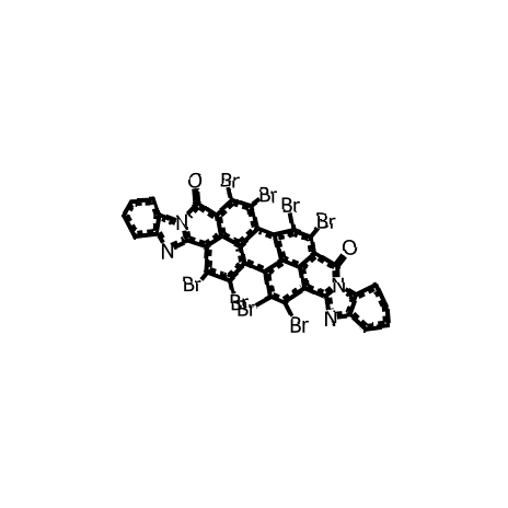 O=c1c2c(Br)c(Br)c3c4c(Br)c(Br)c5c(=O)n6c7ccccc7nc6c6c(Br)c(Br)c(c7c(Br)c(Br)c(c2c37)c2nc3ccccc3n12)c4c56